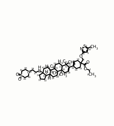 CCOC(=O)C1(COc2cc(C)sn2)CC=C(C2=CC[C@@]3(C)C(CC[C@]4(C)C3CC[C@@H]3[C@H]5CCC[C@]5(NCCN5CCS(=O)(=O)CC5)CC[C@]34C)C2(C)C)CC1